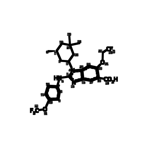 C[C@H]1CC(n2c(Nc3ccc(OC(F)(F)F)cc3)nc3cc(C(=O)O)c(OCC(F)(F)F)cc32)CC(C)(C)C1